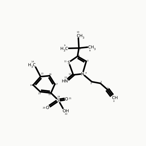 C#CCCn1cc(C(C)(C)C)sc1=N.Cc1ccc(S(=O)(=O)O)cc1